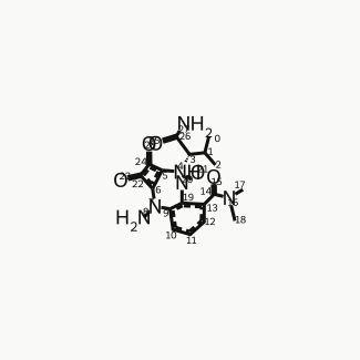 CC(C)[C@H](Nc1c(N(N)c2cccc(C(=O)N(C)C)c2N=O)c(=O)c1=O)C(N)=O